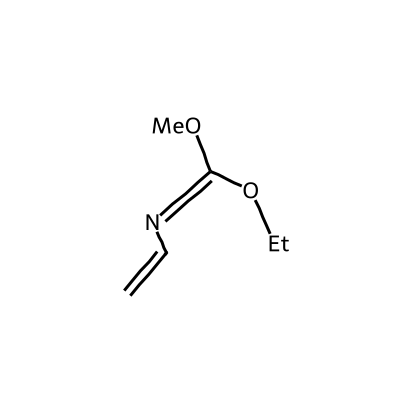 C=CN=C(OC)OCC